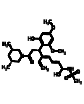 C=C/C(=C\C=C\C(O)NS(C)(=O)=O)[C@@H](CC(=O)N1C[C@H](C)C[C@@H](C)C1)c1c(O)cc(OC)cc1OC